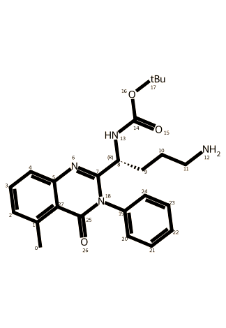 Cc1cccc2nc([C@@H](CCCN)NC(=O)OC(C)(C)C)n(-c3ccccc3)c(=O)c12